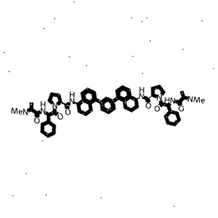 CNC(C)C(=O)NC(C(=O)N1CCC[C@H]1C(=O)N[C@@H]1CCCc2c(-c3cccc(-c4cccc5c4CCC[C@H]5NC(=O)[C@@H]4CCCN4C(=O)C(NC(=O)C(C)NC)C4CCCCC4)c3)cccc21)C1CCCCC1